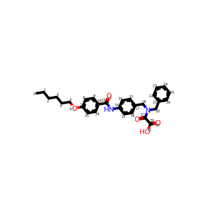 CCCCCCOc1ccc(C(=O)Nc2ccc(CN(Cc3ccccc3)C(=O)C(=O)O)cc2)cc1